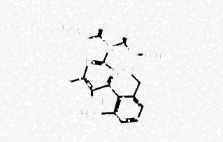 Cc1cccc(CO)c1-c1nc(N(C(=O)OC(C)(C)C)C(=O)OC(C)(C)C)nc(Cl)c1C